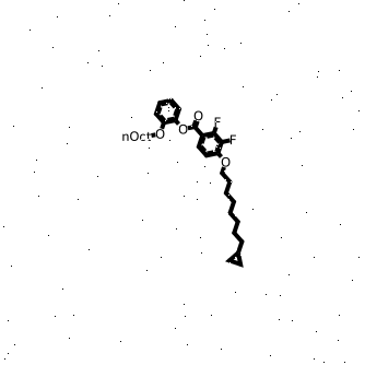 CCCCCCCCOc1ccccc1OC(=O)c1ccc(OCCCCCCCCC2CC2)c(F)c1F